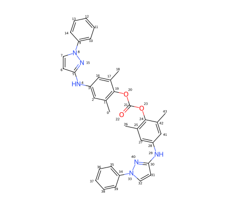 Cc1cc(Nc2ccn(-c3ccccc3)n2)cc(C)c1OC(=O)Oc1c(C)cc(Nc2ccn(-c3ccccc3)n2)cc1C